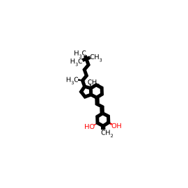 C=C1[C@H](O)CC(=C/C=C2\CCC[C@@]3(C)C2CCC3[C@@H](C)CCCC(C)(C)C)C[C@H]1O